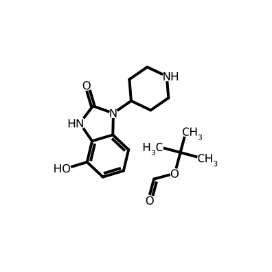 CC(C)(C)OC=O.O=c1[nH]c2c(O)cccc2n1C1CCNCC1